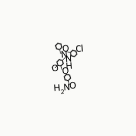 COc1ccc(C2Nc3ccc(Cl)cc3C(=O)N2Cc2ccccc2)cc1COc1ccc(C(N)=O)cc1